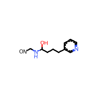 O=NCNC(O)CCCc1cccnc1